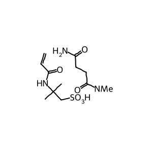 C=CC(=O)NC(C)(C)CS(=O)(=O)O.CNC(=O)CCC(N)=O